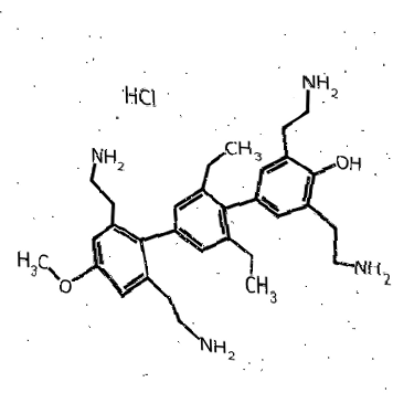 CCc1cc(-c2c(CCN)cc(OC)cc2CCN)cc(CC)c1-c1cc(CCN)c(O)c(CCN)c1.Cl